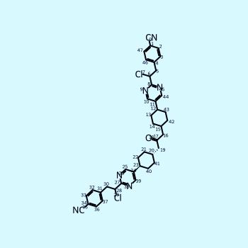 N#Cc1ccc(CC(Cl)c2ncc(C3CCC(CC(=O)C[C@H]4CC[C@H](c5cnc(C(Cl)Cc6ccc(C#N)cc6)nc5)CC4)CC3)cn2)cc1